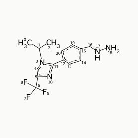 CC(C)n1cc(C(F)(F)F)nc1-c1ccc(CNN)cc1